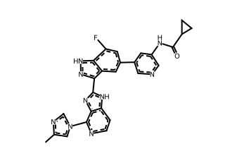 Cc1cn(-c2nccc3[nH]c(-c4n[nH]c5c(F)cc(-c6cncc(NC(=O)C7CC7)c6)cc45)nc23)cn1